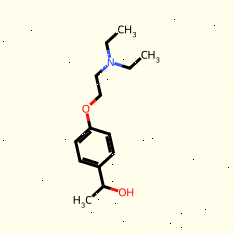 CCN(CC)CCOc1ccc(C(C)O)cc1